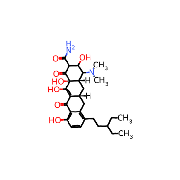 CCC(CC)CCc1ccc(O)c2c1C[C@H]1C[C@H]3C(N(C)C)C(O)C(C(N)=O)C(=O)[C@@]3(O)C(O)=C1C2=O